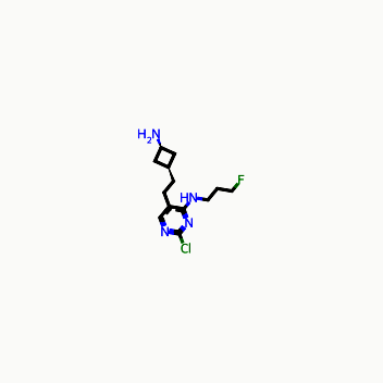 N[C@H]1C[C@@H](CCc2cnc(Cl)nc2NCCCF)C1